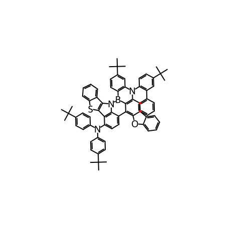 CC(C)(C)c1ccc(N(c2ccc(C(C)(C)C)cc2)c2ccc3c4c2c2sc5ccccc5c2n4B2c4ccc(C(C)(C)C)cc4N(c4ccc(C(C)(C)C)cc4-c4ccccc4)c4cc5c(oc6ccccc65)c-3c42)cc1